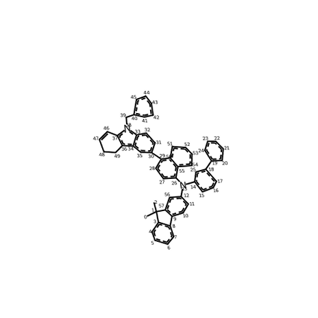 CC1(C)c2ccccc2-c2ccc(N(c3cccc(-c4ccccc4)c3)c3ccc(-c4ccc5c(c4)c4c(n5Cc5ccccc5)C=CCC4)c4ccccc34)cc21